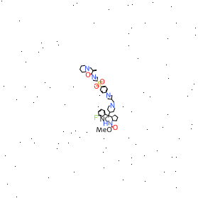 C=C(CN1CCCCC1)C(=O)N1CC(S(=O)(=O)c2ccc(N3CC(CN4CCC([C@@](C#N)(c5cccc(F)c5)[C@H]5CCC[C@@H]5NC(=O)OC)CC4)C3)cc2)C1